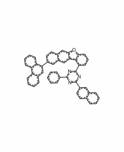 c1ccc(-c2nc(-c3ccc4ccccc4c3)nc(-c3cccc4oc5cc6ccc(-c7cc8ccccc8c8ccccc78)cc6cc5c34)n2)cc1